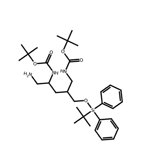 CC(C)(C)OC(=O)NCC(CO[Si](c1ccccc1)(c1ccccc1)C(C)(C)C)CC(CN)NC(=O)OC(C)(C)C